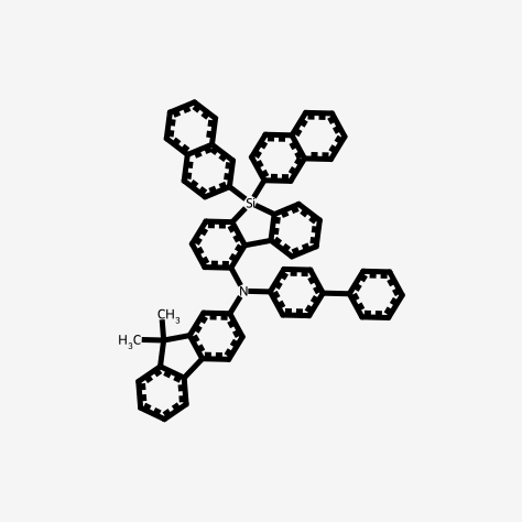 CC1(C)c2ccccc2-c2ccc(N(c3ccc(-c4ccccc4)cc3)c3cccc4c3-c3ccccc3[Si]4(c3ccc4ccccc4c3)c3ccc4ccccc4c3)cc21